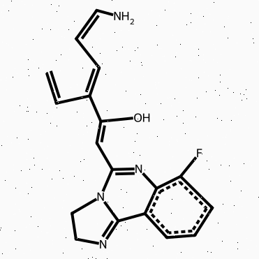 C=CC(=C\C=C/N)/C(O)=C/C1=Nc2c(F)cccc2C2=NCCN12